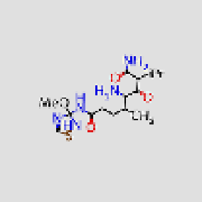 COC1(NC(=O)CCC(C)C(N)C(=O)C(C(N)=O)C(C)C)N=CSN1